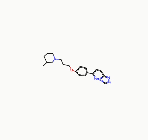 CC1CCCN(CCCOc2ccc(-c3ccc4nncn4n3)cc2)C1